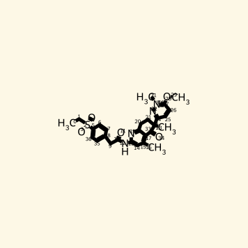 CCS(=O)(=O)c1ccc(CC(=O)Nc2cc(C)c3c(n2)CCC(C)(c2ccc(OC)[n+](C)n2)C3=O)cc1